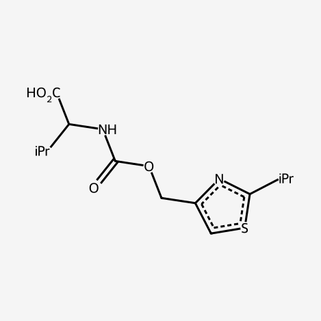 CC(C)c1nc(COC(=O)NC(C(=O)O)C(C)C)cs1